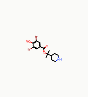 CC(C)(OC(=O)c1cc(Br)c(O)c(Br)c1)C1CCNCC1